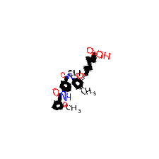 COc1ccccc1C(=O)Nc1ccc(C(=O)N(C)c2ccc(C)cc2OCCCCCC(=O)O)cc1